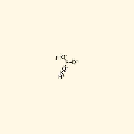 [H+].[H+].[K+].[O-]P([O-])[O-]